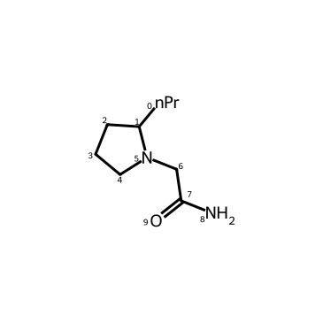 CCCC1CCCN1CC(N)=O